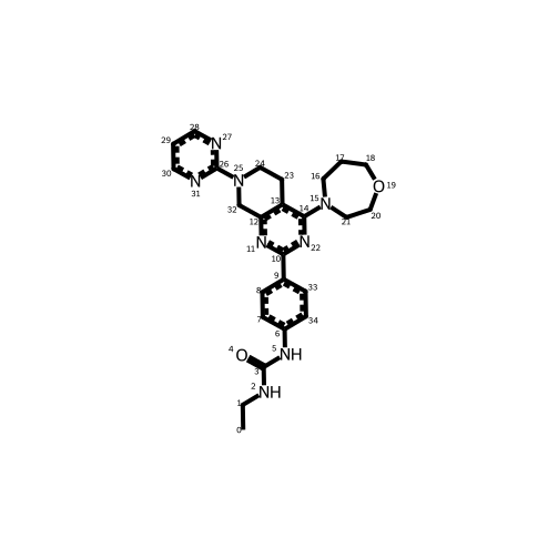 CCNC(=O)Nc1ccc(-c2nc3c(c(N4CCCOCC4)n2)CCN(c2ncccn2)C3)cc1